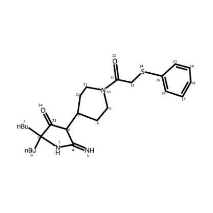 CCCCC1(CCCC)NC(=N)C(C2CCN(C(=O)CSc3ccccc3)CC2)C1=O